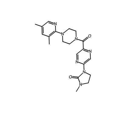 Cc1cnc(N2CCN(C(=O)c3cnc(N4CCN(C)C4=O)cn3)CC2)c(C)c1